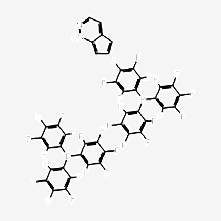 Fc1c(F)c(F)c(B(c2c(F)c(F)c(F)c(F)c2F)c2c(F)c(F)c(F)c(F)c2F)c(F)c1F.Fc1c(F)c(F)c(B(c2c(F)c(F)c(F)c(F)c2F)c2c(F)c(F)c(F)c(F)c2F)c(F)c1F.c1cc2ccn[nH]c-2c1